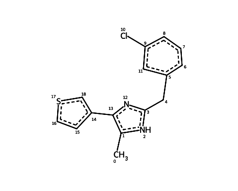 Cc1[nH]c(Cc2cccc(Cl)c2)nc1-c1ccsc1